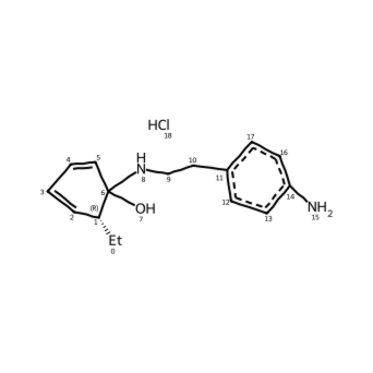 CC[C@@H]1C=CC=CC1(O)NCCc1ccc(N)cc1.Cl